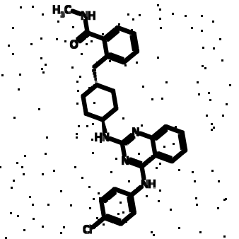 CNC(=O)c1ccccc1C[C@H]1CC[C@H](Nc2nc(Nc3ccc(Cl)cc3)c3ccccc3n2)CC1